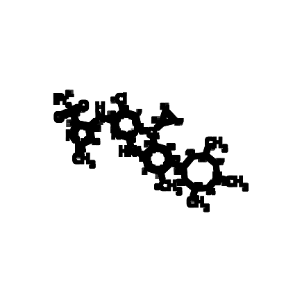 Cc1cc(Nc2ncc(Cl)c(Nc3cn(C)nc3S(=O)(=O)C(C)C)n2)c(OC2CC2)cc1C1CC(C)CN(C)CC(C)C1